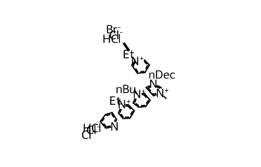 C=C.CCCCCCCCCCn1cc[n+](C)c1.CCCC[n+]1ccccc1.CC[n+]1ccccc1.CC[n+]1ccccc1.Cl.Cl.[Br-].[Cl-].[Cl-].[Cl-].c1ccncc1